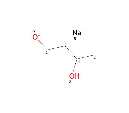 CC(O)CC[O-].[Na+]